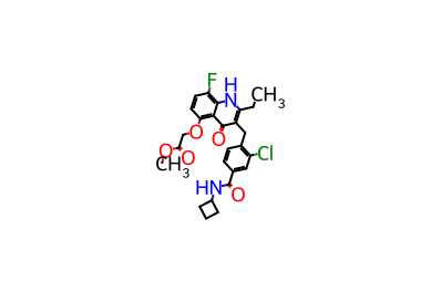 CCc1[nH]c2c(F)ccc(OCC(=O)OC)c2c(=O)c1Cc1ccc(C(=O)NC2CCC2)cc1Cl